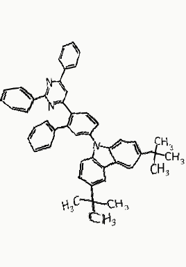 CC(C)(C)c1ccc2c(c1)c1cc(C(C)(C)C)ccc1n2-c1ccc(-c2cc(-c3ccccc3)nc(-c3ccccc3)n2)c(-c2ccccc2)c1